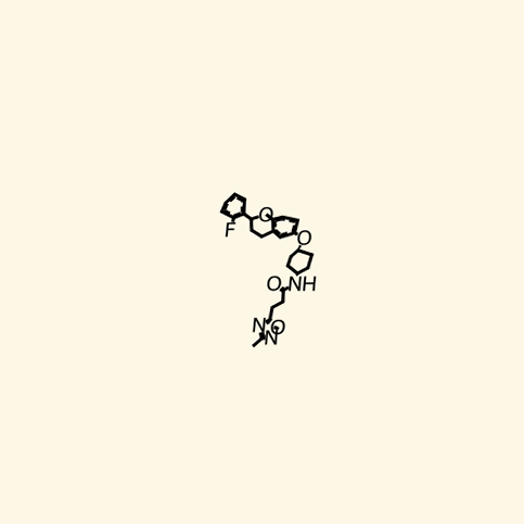 Cc1noc(CCC(=O)N[C@H]2CC[C@H](Oc3ccc4c(c3)CCC(c3ccccc3F)O4)CC2)n1